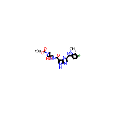 Cn1nc(-c2cnc3[nH]cc(C(=O)NCC4(O)CN(C(=O)OC(C)(C)C)C4)c3n2)c2ccc(F)cc21